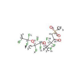 C=C(F)C(F)(F)OC(F)(C(F)(F)F)C(F)(F)OC(F)(C(F)(F)F)C(F)(F)C(=O)CS(=O)(=O)C(F)(F)F